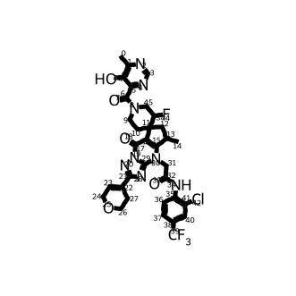 Cc1ncnc(C(=O)N2CCC3(CC(C)c4c3c(=O)n3nc(C5=CCOCC5)nc3n4CC(=O)Nc3ccc(C(F)(F)F)cc3Cl)C(F)C2)c1O